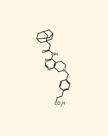 O=C(O)CCc1ccc(CN2CCc3c(ncnc3NC(=O)CC34CC5CC(CC(C5)C3)C4)C2)cc1